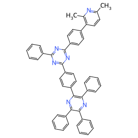 Cc1ccc(-c2ccc(-c3nc(-c4ccccc4)nc(-c4ccc(-c5nc(-c6ccccc6)c(-c6ccccc6)nc5-c5ccccc5)cc4)n3)cc2)c(C)n1